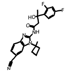 CC(O)(CC(=O)Nc1nc2ccc(C#N)cc2n1C1(C)CCC1)c1ccc(F)cc1F